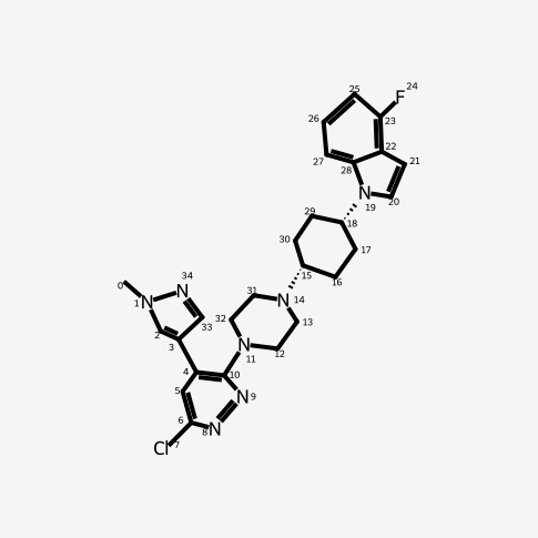 Cn1cc(-c2cc(Cl)nnc2N2CCN([C@H]3CC[C@@H](n4ccc5c(F)cccc54)CC3)CC2)cn1